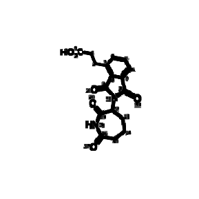 O=C(O)CCc1cccc2c1C(=O)N(C1CCCC(=O)NC1=O)C2=O